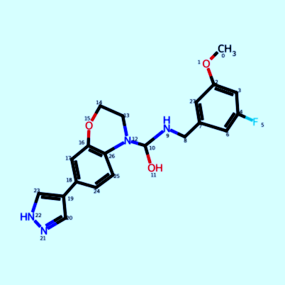 COc1cc(F)cc(CNC(O)N2CCOc3cc(-c4cn[nH]c4)ccc32)c1